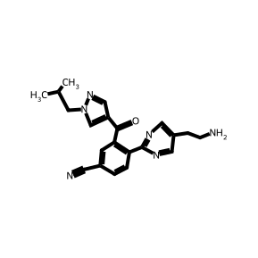 CC(C)Cn1cc(C(=O)c2cc(C#N)ccc2-c2ncc(CCN)cn2)cn1